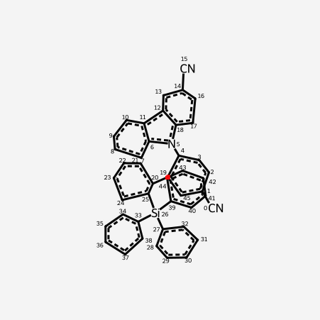 N#Cc1ccc(-n2c3ccccc3c3cc(C#N)ccc32)c(-c2ccccc2[Si](c2ccccc2)(c2ccccc2)c2ccccc2)c1